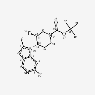 Cc1cc2cnc(Cl)nc2n1[C@H]1CCN(C(=O)OC(C)(C)C)C[C@@H]1F